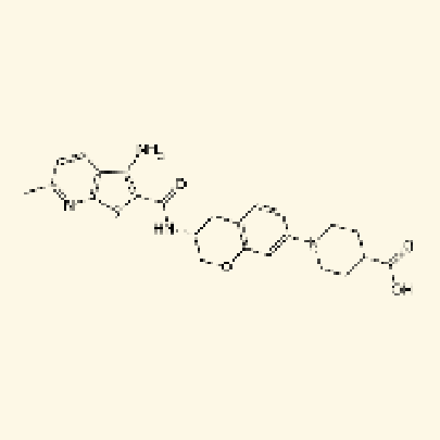 Cc1ccc2c(N)c(C(=O)N[C@H]3COc4cc(N5CCC(C(=O)O)CC5)ccc4C3)sc2n1